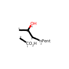 CC(=O)O.CCCCCCC(C)O